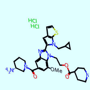 COc1cc(C(=O)N2CCC[C@@H](N)C2)cc2nc(-c3cc4ccsc4n3CC3CC3)n(CCOC(=O)C3CCNCC3)c12.Cl.Cl